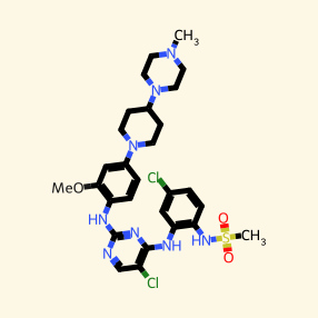 COc1cc(N2CCC(N3CCN(C)CC3)CC2)ccc1Nc1ncc(Cl)c(Nc2cc(Cl)ccc2NS(C)(=O)=O)n1